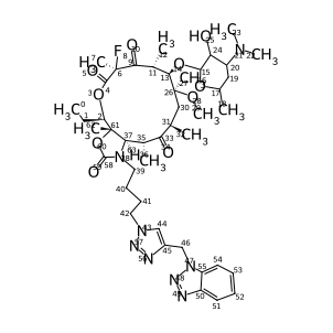 CC[C@H]1OC(=O)[C@@](C)(F)C(=O)[C@H](C)[C@@H](OC2OC(C)CC(N(C)C)C2O)[C@@](C)(OC)C[C@@H](C)C(=O)[C@H](C)[C@H]2N(CCCCn3cc(Cn4nnc5ccccc54)nn3)C(=O)O[C@]12C